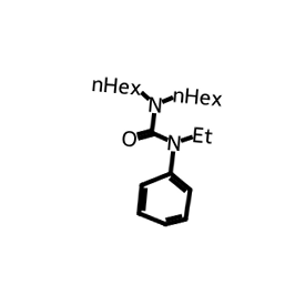 CCCCCCN(CCCCCC)C(=O)N(CC)c1ccccc1